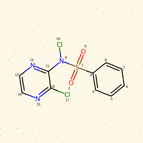 O=S(=O)(c1ccccc1)N(Cl)c1nccnc1Cl